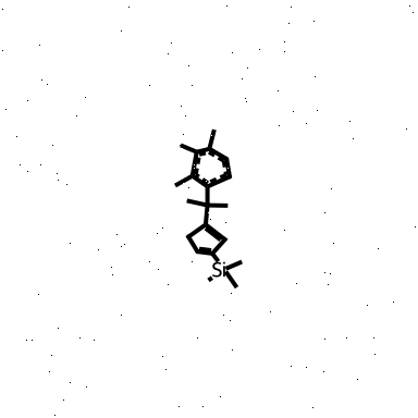 Cc1ccc(C(C)(C)C2=CC([Si](C)(C)C)=CC2)c(C)c1C